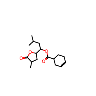 CC(C)CC(OC(=O)C1CC=CCC1)C1CC(C)C(=O)O1